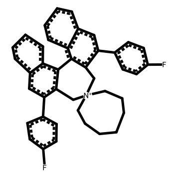 Fc1ccc(-c2cc3ccccc3c3c2C[N+]2(CCCCCCC2)Cc2c(-c4ccc(F)cc4)cc4ccccc4c2-3)cc1